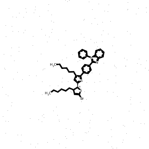 CCCCCCc1cc([C@H]2SC(Br)=CC2CCCCCC)sc1-c1ccc(-c2nc3ccccc3n2-c2ccccc2)cc1